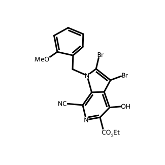 CCOC(=O)c1nc(C#N)c2c(c1O)c(Br)c(Br)n2Cc1ccccc1OC